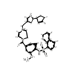 COc1cc(C(=O)N2CCN(CC3COC(C4CCCC4)C3)CC2)ccc1NS(=O)(=O)c1cccc2cccnc12